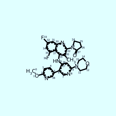 COc1ccc(-c2cnc(N3CCOCC3)cc2Nc2c(C)c(N3CCCC3=O)nc3cc(F)cc(F)c23)cn1